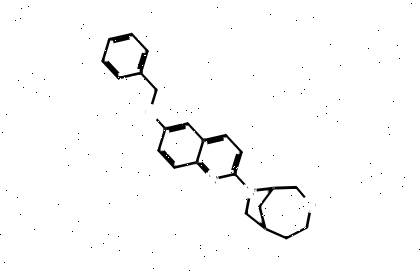 c1ccc(COc2ccc3nc(N4CC5CCOCC4C5)ccc3c2)cc1